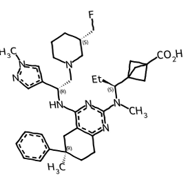 CC[C@H](N(C)c1nc2c(c(N[C@@H](CN3CCC[C@H](CF)C3)c3cnn(C)c3)n1)C[C@](C)(c1ccccc1)CC2)C12CC(C(=O)O)(C1)C2